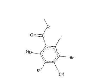 COC(=O)c1c(C)c(Br)c(O)c(Br)c1O